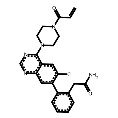 C=CC(=O)N1CCN(c2ncnc3cc(-c4ccccc4CC(N)=O)c(Cl)cc23)CC1